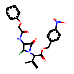 C=C(C)C(C(=O)OCc1ccc([N+](=O)[O-])cc1)N1C(=O)C(NC(=O)COc2ccccc2)C1Br